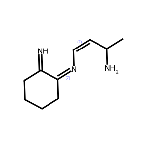 CC(N)/C=C\N=C1\CCCCC1=N